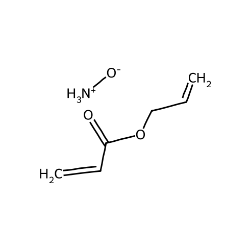 C=CCOC(=O)C=C.[NH3+][O-]